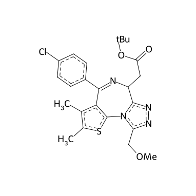 COCc1nnc2n1-c1sc(C)c(C)c1C(c1ccc(Cl)cc1)=NC2CC(=O)OC(C)(C)C